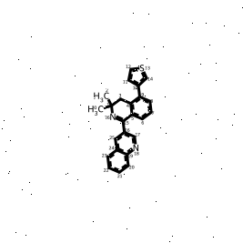 CC1(C)Cc2c(cccc2-c2ccsc2)C(c2cnc3ccccc3c2)=N1